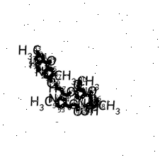 CNc1ccc(COC(=O)N2c3cc(OCCCCCOc4cc5c(cc4C)C(=O)C4C=C(C)C[C@H]4C=N5)c(OC)cc3C(=O)N3C=C(C)C[C@H]3[C@@H]2O)cc1